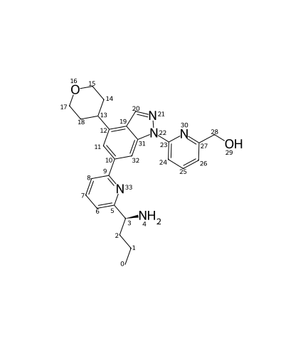 CCC[C@H](N)c1cccc(-c2cc(C3CCOCC3)c3cnn(-c4cccc(CO)n4)c3c2)n1